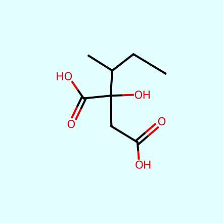 CCC(C)C(O)(CC(=O)O)C(=O)O